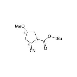 CO[C@H]1C[C@H](C#N)N(C(=O)OC(C)(C)C)C1